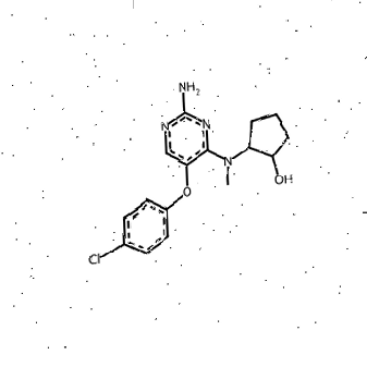 CN(c1nc(N)ncc1Oc1ccc(Cl)cc1)C1CCCC1O